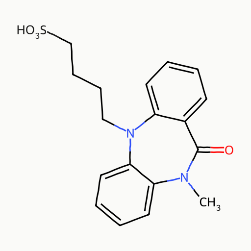 CN1C(=O)c2ccccc2N(CCCCS(=O)(=O)O)c2ccccc21